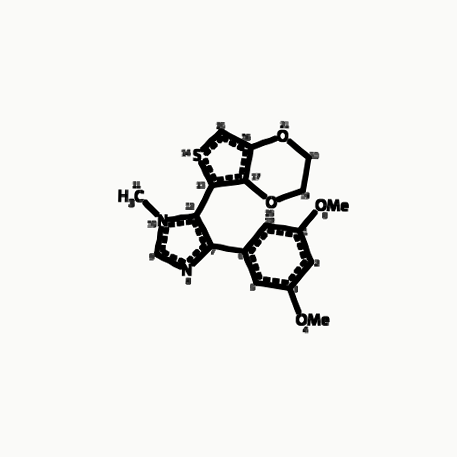 COc1cc(OC)cc(-c2ncn(C)c2-c2scc3c2OCCO3)c1